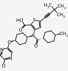 CC(C)(C)C#Cc1cc(N(C(=O)[C@H]2CC[C@H](C)CC2)[C@H]2CC[C@@H](Oc3cnc(Cl)cn3)CC2)c(C(=O)O)s1